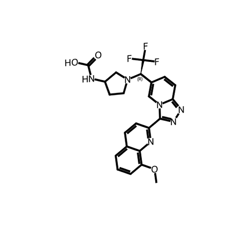 COc1cccc2ccc(-c3nnc4ccc([C@@H](N5CCC(NC(=O)O)C5)C(F)(F)F)cn34)nc12